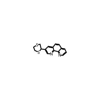 c1cnc2c(c1)ccc1cc(C3CSCCS3)cnc12